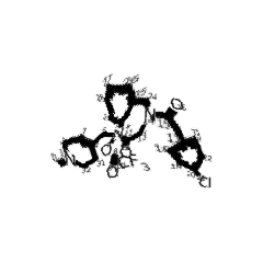 CN1CCC(C[N+]2(OC(=O)C(F)(F)F)C(=O)CN(C(=O)c3ccc(Cl)cc3)Cc3ccccc32)CC1